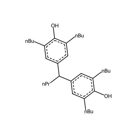 CCCCc1cc(C(CCC)c2cc(CCCC)c(O)c(CCCC)c2)cc(CCCC)c1O